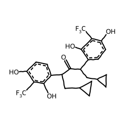 O=C(C(CC1CC1)c1ccc(O)c(C(F)(F)F)c1O)C(CC1CC1)c1ccc(O)c(C(F)(F)F)c1O